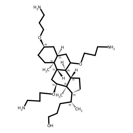 C[C@H](CCCO)[C@H]1CC[C@H]2[C@@H]3C(OCCCN)C[C@@H]4C[C@H](OCCCN)CC[C@]4(C)[C@H]3C[C@H](OCCCN)[C@]12C